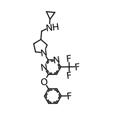 Fc1cccc(Oc2cc(C(F)(F)F)nc(N3CCC(CNC4CC4)C3)n2)c1